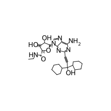 CCNC(=O)[C@H]1O[C@@H](n2cnc3c(N)nc(C#CC(O)(C4CCCCC4)C4CCCCC4)nc32)C(O)[C@H]1O